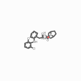 O=C(Cc1ccccc1Nc1c(Cl)cccc1Cl)NC1CC2CCC(C1)N2C(=O)O